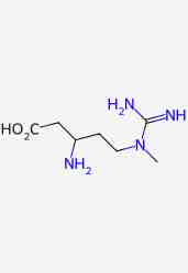 CN(CCC(N)CC(=O)O)C(=N)N